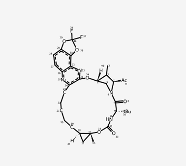 CC(=O)[C@@H]1C(C)[C@@H]2CN1C(=O)[C@H](C(C)(C)C)NC(=O)O[C@]1(C)C[C@H]1CCCCCc1nc3ccc4c(c3nc1O2)OC(F)(F)O4